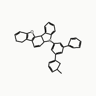 CC1C=CC=C(c2cc(-c3ccccc3)cc(N3c4ccccc4C4c5oc6c(c5C=CC43)CCC=C6)c2)C1